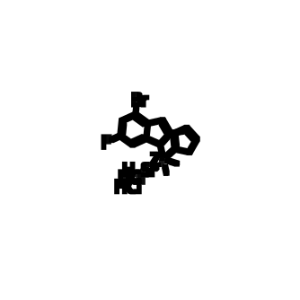 CC1=Cc2c(Br)cc(F)cc2[CH]1[Zr]([CH3])([CH3])(=[SiH2])[C]1=CC=CC1.Cl.Cl